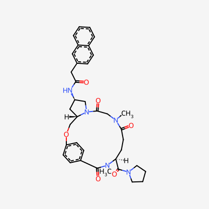 CN1CC(=O)N2C[C@H](NC(=O)Cc3ccc4ccccc4c3)C[C@H]2COc2ccc(cc2)C(=O)N(C)[C@H](C(=O)N2CCCC2)CCC1=O